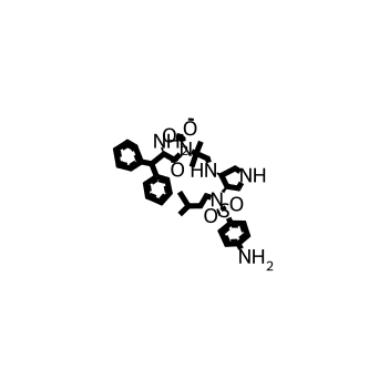 COC(=O)N(C(=O)[C@@H](N)C(c1ccccc1)c1ccccc1)C(C)(C)CN[C@@H]1CNC[C@H]1N(CCC(C)C)S(=O)(=O)c1ccc(N)cc1